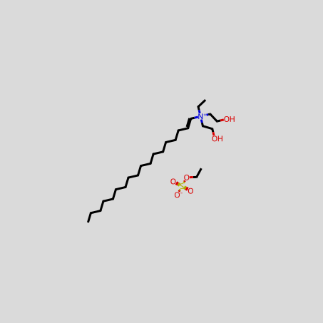 CCCCCCCCCCCCCCCCC=C[N+](CC)(CCO)CCO.CCOS(=O)(=O)[O-]